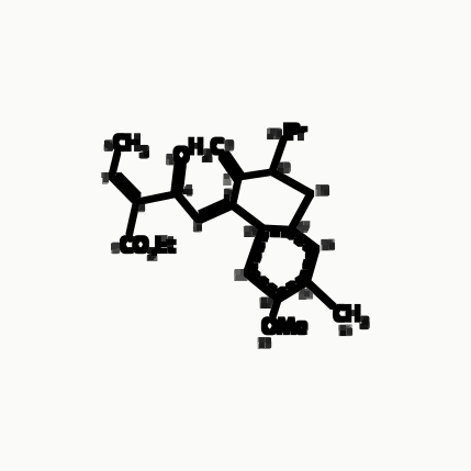 C=C1/C(=C\C(=O)/C(=C\C)C(=O)OCC)c2cc(OC)c(C)cc2CC1C(C)C